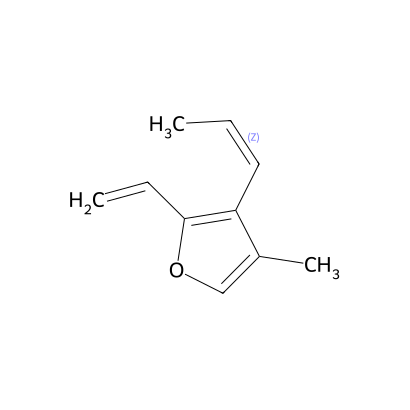 C=Cc1occ(C)c1/C=C\C